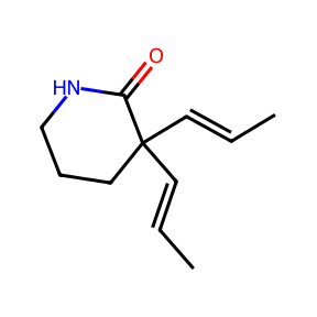 C/C=C/C1(/C=C/C)CCCNC1=O